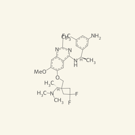 COc1cc2nc(C)nc(N[C@H](C)c3cc(N)cc(C(F)(F)F)c3)c2cc1OCC1([C@@H](C)N(C)C)CC(F)(F)C1